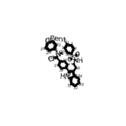 CCCCCc1ccc(S(=O)(=O)NCCc2c(-c3ccc(C(=O)N(C)c4ccccc4)cc3)[nH]c3ccccc23)cc1